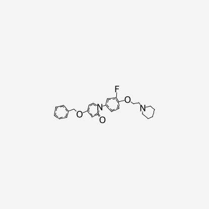 O=c1cc(OCc2ccccc2)ccn1-c1ccc(OCCN2CCCCC2)c(F)c1